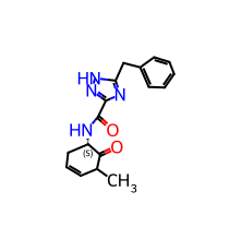 CC1C=CC[C@H](NC(=O)c2n[nH]c(Cc3ccccc3)n2)C1=O